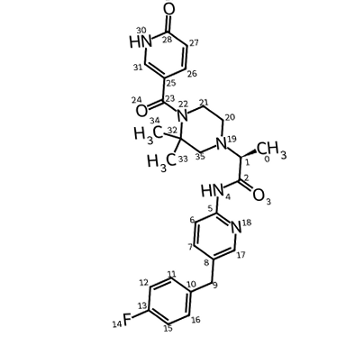 C[C@@H](C(=O)Nc1ccc(Cc2ccc(F)cc2)cn1)N1CCN(C(=O)c2ccc(=O)[nH]c2)C(C)(C)C1